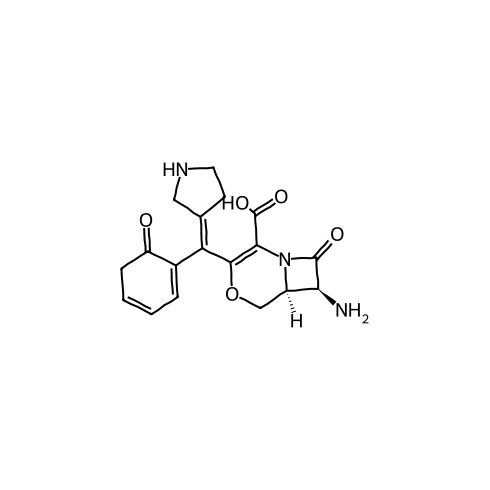 N[C@@H]1C(=O)N2C(C(=O)O)=C(/C(C3=CC=CCC3=O)=C3\CCNC3)OC[C@H]12